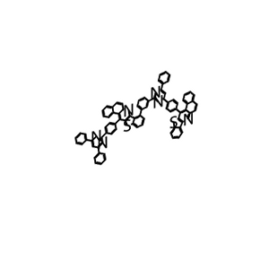 c1ccc(-c2cc(-c3ccccc3)nc(-c3ccc(-c4c5sc6cccc(-c7cccc(-c8nc(-c9ccccc9)cc(-c9ccc(-c%10c%11sc%12ccccc%12c%11nc%11ccc%12ccccc%12c%10%11)cc9)n8)c7)c6c5nc5ccc6ccccc6c45)cc3)n2)cc1